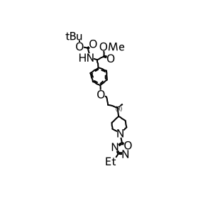 CCc1noc(N2CCC([C@H](C)CCOc3ccc(C(NC(=O)OC(C)(C)C)C(=O)OC)cc3)CC2)n1